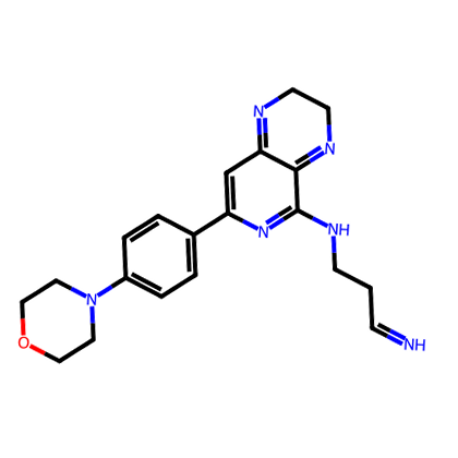 N=CCCNc1nc(-c2ccc(N3CCOCC3)cc2)cc2c1=NCCN=2